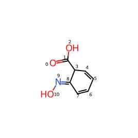 O=C(O)C1C=CC=CC1=NO